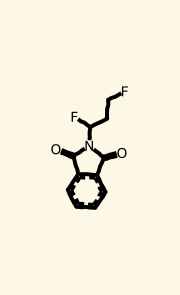 O=C1c2ccccc2C(=O)N1C(F)CCF